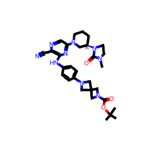 CN1CCN([C@@H]2CCCN(c3cnc(C#N)c(Nc4ccc(N5CC6(CN(C(=O)OC(C)(C)C)C6)C5)cc4)n3)C2)C1=O